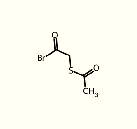 CC(=O)SCC(=O)Br